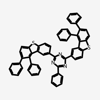 c1ccc(-c2nc(-c3ccc4sc5ccc(-c6ccccc6)c(-c6ccccc6)c5c4c3)nc(-c3ccc4sc5ccc(-c6ccccc6)c(-c6ccccc6)c5c4c3)n2)cc1